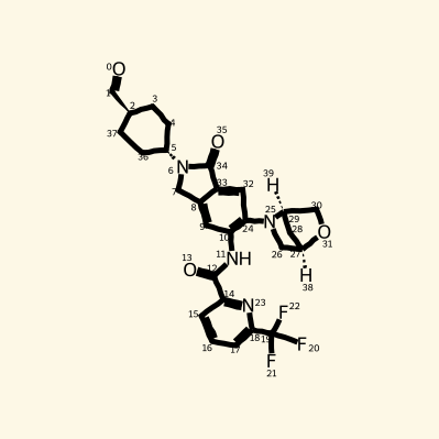 O=C[C@H]1CC[C@H](N2Cc3cc(NC(=O)c4cccc(C(F)(F)F)n4)c(N4C[C@H]5C[C@@H]4CO5)cc3C2=O)CC1